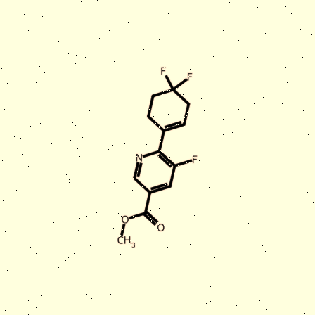 COC(=O)c1cnc(C2=CCC(F)(F)CC2)c(F)c1